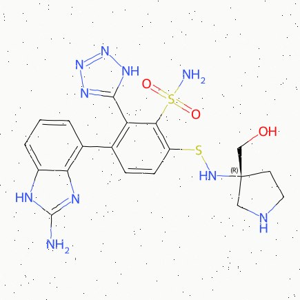 Nc1nc2c(-c3ccc(SN[C@]4(CO)CCNC4)c(S(N)(=O)=O)c3-c3nnn[nH]3)cccc2[nH]1